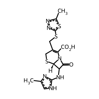 Cc1c[nH]c(NC2C(=O)N3C(C(=O)O)=C(CSc4nnc(C)s4)CS[C@@H]23)n1